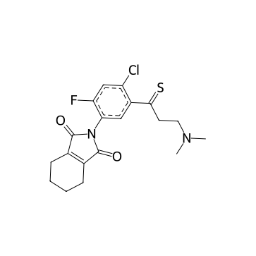 CN(C)CCC(=S)c1cc(N2C(=O)C3=C(CCCC3)C2=O)c(F)cc1Cl